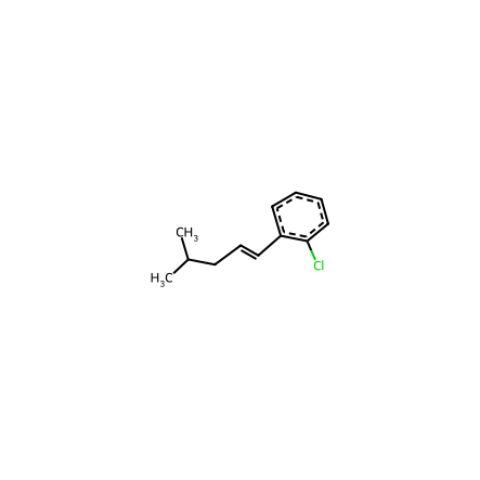 CC(C)CC=Cc1ccccc1Cl